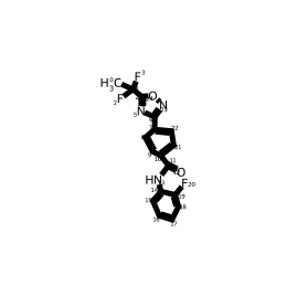 CC(F)(F)c1nc(-c2ccc(C(=O)Nc3ccccc3F)cc2)no1